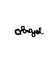 [CH2][C@@H](F)CNC(=O)OCCOC(=O)C1CCCCC1